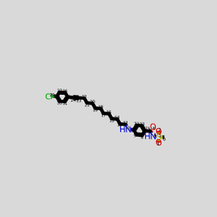 CS(=O)(=O)NC(=O)c1ccc(NCCCCCCCCCCCC#Cc2ccc(Cl)cc2)cc1